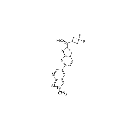 Cn1cc2cc(-c3ccc4cc([C@@H](O)C5CC(F)(F)C5)sc4n3)cnc2n1